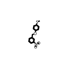 CSc1ccc(OCc2cccc([N+](=O)[O-])c2)cc1